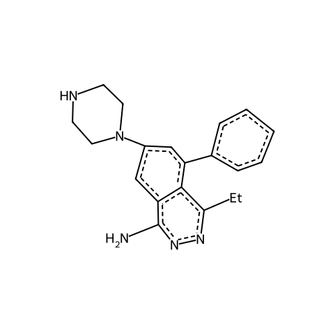 CCc1nnc(N)c2cc(N3CCNCC3)cc(-c3ccccc3)c12